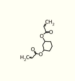 C=CC(=O)OC1CCCC(OC(=O)C=C)C1